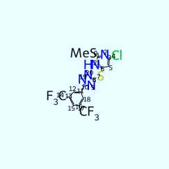 CSc1nc(Cl)cc(Sc2nc(-c3cc(C(F)(F)F)cc(C(F)(F)F)c3)n[nH]2)n1